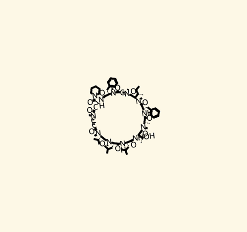 CC[C@H](C)[C@H]1C(=O)N(C)CC(=O)N(C)[C@@H](Cc2ccccc2)C(=O)N[C@H](C(=O)N2CCCCC2)CC(=O)N(C)CCC(=O)N(C)[C@@H](C(C)C)C(=O)N(C)[C@@H](CC(C)C)C(=O)N[C@@H](CC(C)C)C(=O)N[C@@H]([C@@H](C)O)C(=O)N(C)[C@@H](C)C(=O)N[C@@H](Cc2ccccc2)C(=O)N1C